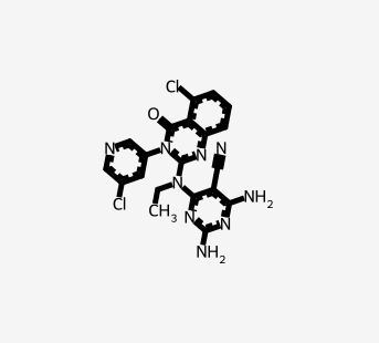 CCN(c1nc(N)nc(N)c1C#N)c1nc2cccc(Cl)c2c(=O)n1-c1cncc(Cl)c1